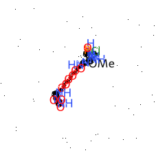 COc1cc(N2CCC(NC(=O)CCOCCOCCOCCOCCOCCNc3cccc4c3CN(C3CCC(=O)NC3=O)C4=O)CC2)ccc1Nc1ncc(Cl)c(Nc2ccccc2P(C)(C)=O)n1